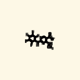 CNc1nc(Nc2c(F)c(F)c(F)c(F)c2F)ncc1[N+](=O)[O-]